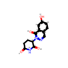 O=C1CCC(n2ncc3ccc(O)cc3c2=O)C(=O)N1